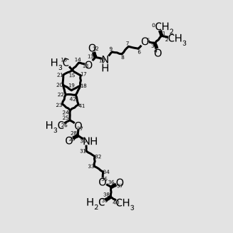 C=C(C)C(=O)OCCCCNC(=O)OCC1(C)CC2CC(C1)C1CC(C(C)OC(=O)NCCCCOC(=O)C(=C)C)CC21